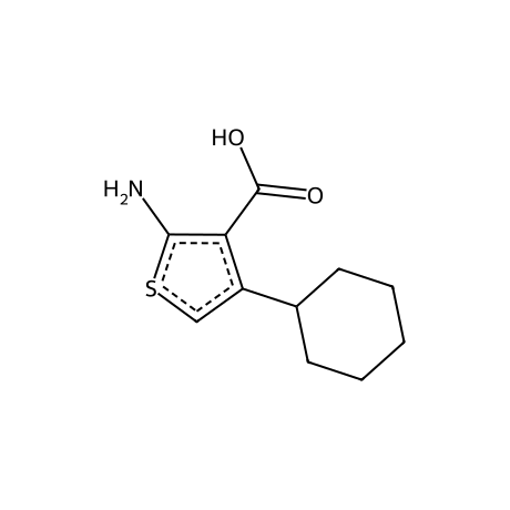 Nc1scc(C2CCCCC2)c1C(=O)O